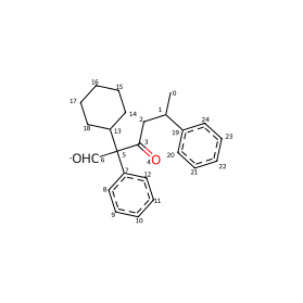 CC(CC(=O)C([C]=O)(c1ccccc1)C1CCCCC1)c1ccccc1